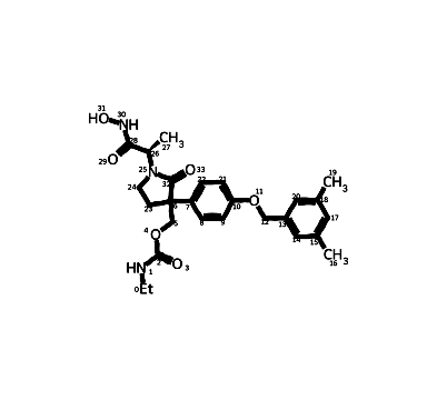 CCNC(=O)OCC1(c2ccc(OCc3cc(C)cc(C)c3)cc2)CCN([C@H](C)C(=O)NO)C1=O